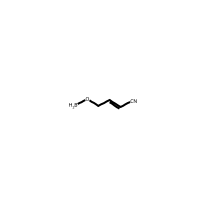 BOC/C=C/C#N